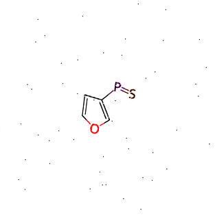 S=Pc1ccoc1